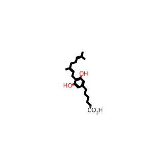 CC(C)=CCC/C(C)=C/Cc1c(O)cc(CCCCCC(=O)O)cc1O